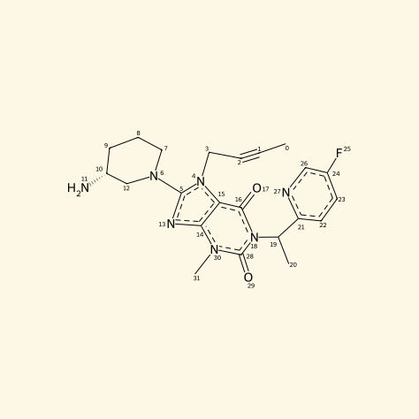 CC#CCn1c(N2CCC[C@@H](N)C2)nc2c1c(=O)n(C(C)c1ccc(F)cn1)c(=O)n2C